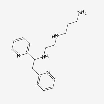 NCCCNCCNC(Cc1ccccn1)c1ccccn1